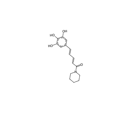 O=C(/C=C/C=C/c1cc(O)c(O)c(O)c1)N1CCCCC1